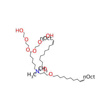 CCCCCCCC/C=C\CCCCCCCCOCC(C[N+](C)(C)CCCCCC(OCCOCCO)OCCOCCO)OCCCCCCCC/C=C\CCCCCCCC